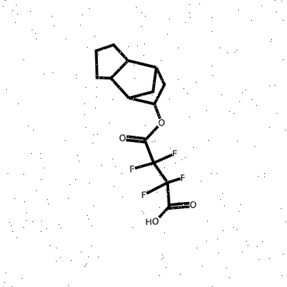 O=C(O)C(F)(F)C(F)(F)C(=O)OC1CC2CC1C1CCCC21